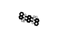 O=C1c2ccc3c4c(ccc(c24)C(=O)N1c1c(Cl)ccc2c1CCCC2)C(=O)N(c1c(Cl)ccc2c1CCCC2)C3=O